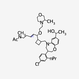 CCCc1cc(Cl)ccc1C1COc2ccc(C(C)O)cc2N(CC2CCC2C(/C=C/CCN(C)C(C)=O)OCCN2CCOCC2C)C1